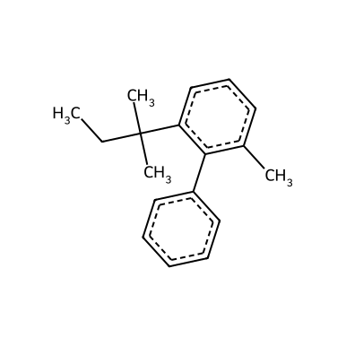 CCC(C)(C)c1cccc(C)c1-c1ccccc1